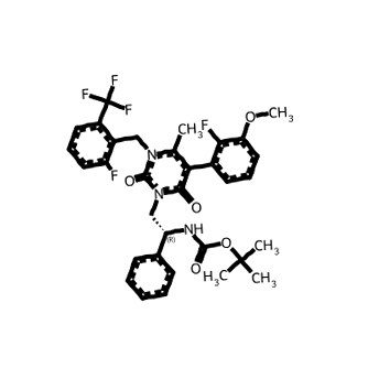 COc1cccc(-c2c(C)n(Cc3c(F)cccc3C(F)(F)F)c(=O)n(C[C@H](NC(=O)OC(C)(C)C)c3ccccc3)c2=O)c1F